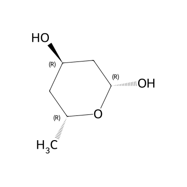 C[C@@H]1C[C@@H](O)C[C@H](O)O1